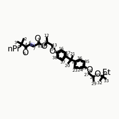 CCCC(C)(C)C(=O)/C=C/C(=O)OC(C)COc1ccc(C(C)(C)c2ccc(OCC(C)OC(C)(C)CC)cc2)cc1